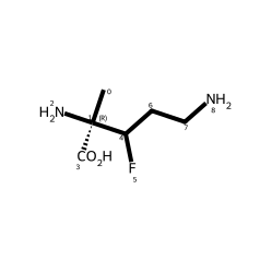 C[C@@](N)(C(=O)O)C(F)CCN